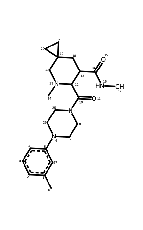 Cc1cccc(N2CCN(C(=O)C3C(C(=O)NO)CC4(CC4)CN3C)CC2)c1